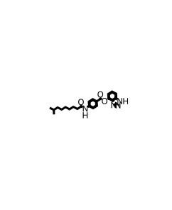 CC(C)CCCCCCC(=O)Nc1ccc(C(=O)Oc2cccc3[nH]nnc23)cc1